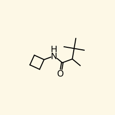 CC(C(=O)NC1CCC1)C(C)(C)C